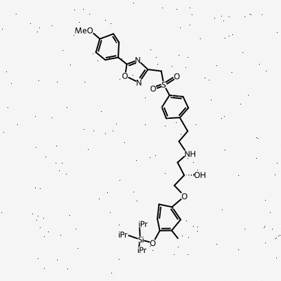 COc1ccc(-c2nc(CS(=O)(=O)c3ccc(CCNC[C@H](O)COc4ccc(O[Si](C(C)C)(C(C)C)C(C)C)c(C)c4)cc3)no2)cc1